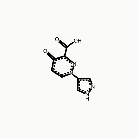 O=C(O)c1nn(-c2cn[nH]c2)ccc1=O